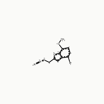 COc1ccc(Br)c2cc(CN=[N+]=[N-])oc12